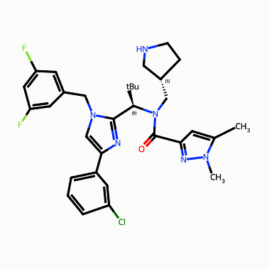 Cc1cc(C(=O)N(C[C@H]2CCNC2)[C@@H](c2nc(-c3cccc(Cl)c3)cn2Cc2cc(F)cc(F)c2)C(C)(C)C)nn1C